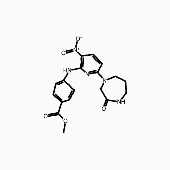 COC(=O)c1ccc(Nc2nc(N3CCCNC(=O)C3)ccc2[N+](=O)[O-])cc1